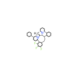 C=C1C2C(CCc3cc(F)c(F)c(F)c3-c3ccc(-c4ccccc4)c[n+]31)c1ccccc1-c1cccc[n+]12